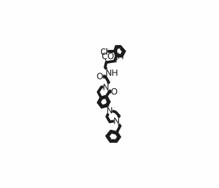 O=C(CN1CCc2ccc(N3CCN(Cc4ccccc4)CC3)cc2C1=O)NC[C@@H](Cc1ccccc1Cl)C(=O)O